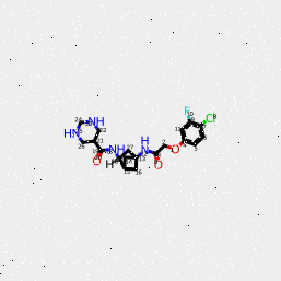 O=C(COc1ccc(Cl)c(F)c1)NC12CC(C1)[C@@H](NC(=O)C1CNCNC1)C2